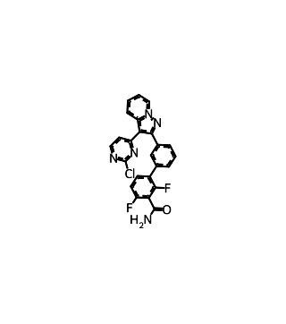 NC(=O)c1c(F)ccc(-c2cccc(-c3nn4ccccc4c3-c3ccnc(Cl)n3)c2)c1F